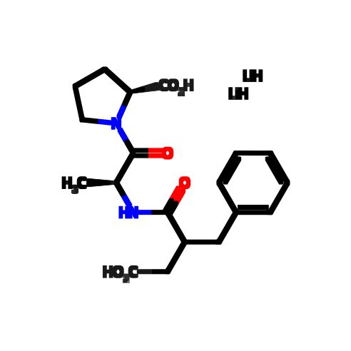 C[C@H](NC(=O)C(CC(=O)O)Cc1ccccc1)C(=O)N1CCC[C@H]1C(=O)O.[LiH].[LiH]